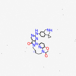 O=C1COc2ccc3nc2N1CC/C=C/Cn1c(=O)c2cnc(Nc4ccc5c(c4)CNCC54CC4)nc2n1-3